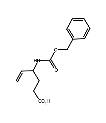 C=CC(CCC(=O)O)NC(=O)OCc1ccccc1